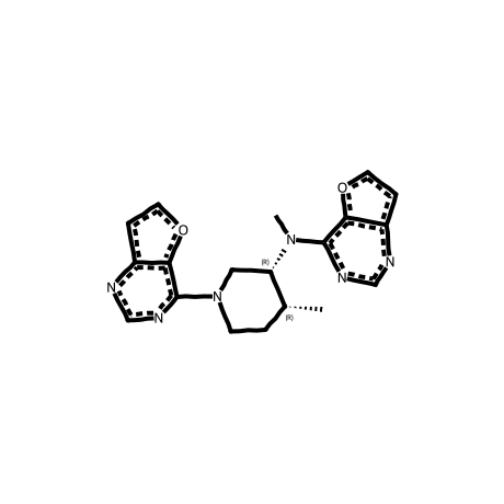 C[C@@H]1CCN(c2ncnc3ccoc23)C[C@@H]1N(C)c1ncnc2ccoc12